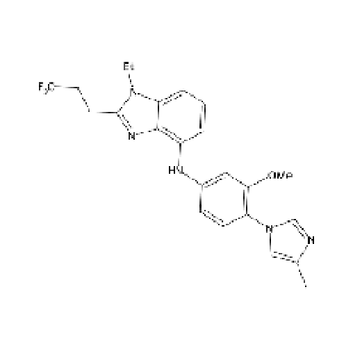 CCn1c(CCC(F)(F)F)nc2c(Nc3ccc(-n4cnc(C)c4)c(OC)c3)cccc21